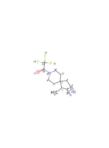 CC(C)C1(CC#N)CCN(C(=O)C(F)(F)F)CC1